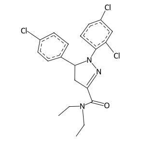 CCN(CC)C(=O)C1=NN(c2ccc(Cl)cc2Cl)C(c2ccc(Cl)cc2)C1